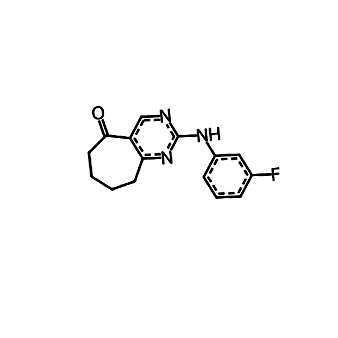 O=C1CCCCc2nc(Nc3cccc(F)c3)ncc21